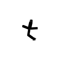 CP(C)(=O)CBr